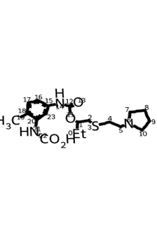 CCC(CSCCN1CCCC1)OC(=O)Nc1ccc(C)c(NC(=O)O)c1